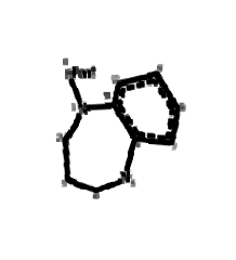 CCCCCN1CCC[N]c2ccccc21